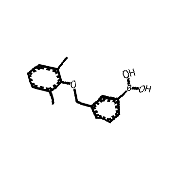 Cc1cccc(C)c1OCc1cccc(B(O)O)c1